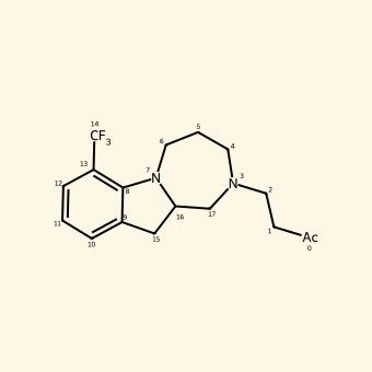 CC(=O)CCN1CCCN2c3c(cccc3C(F)(F)F)CC2C1